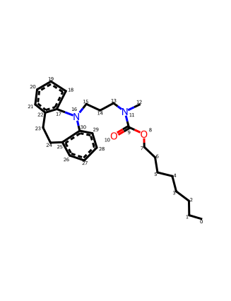 CCCCCCCCOC(=O)N(C)CCCN1c2ccccc2CCc2ccccc21